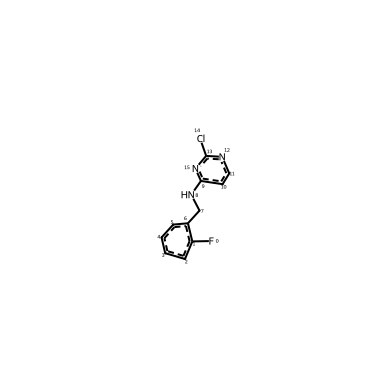 Fc1ccccc1CNc1ccnc(Cl)n1